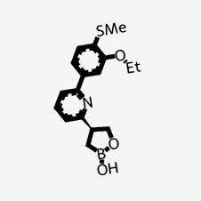 CCOc1cc(-c2cccc([C@H]3COB(O)C3)n2)ccc1SC